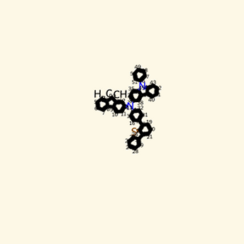 CC1(C)c2ccccc2-c2ccc(N(c3ccc(-c4cccc5c4sc4ccccc45)cc3)c3ccc4c(c3)c3ccccc3n4-c3ccccc3)cc21